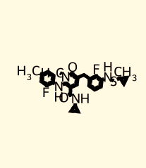 Cc1ccc(Nc2c(C(=O)NC3CC3)cc(Cc3cccc(NSC4(C)CC4)c3F)c(=O)n2C)c(F)c1